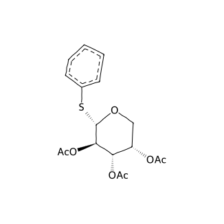 CC(=O)O[C@@H]1[C@@H](OC(C)=O)[C@H](Sc2ccccc2)OC[C@@H]1OC(C)=O